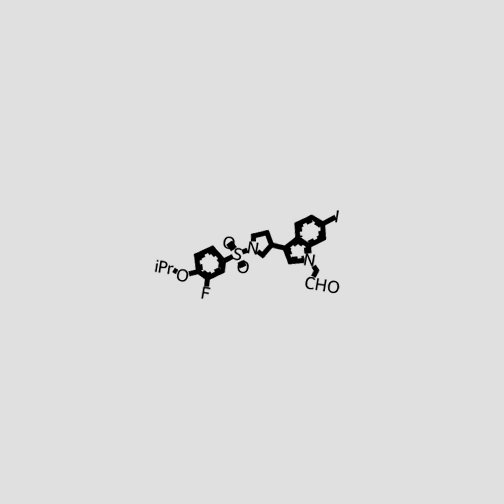 CC(C)Oc1ccc(S(=O)(=O)N2CCC(c3cn(CC=O)c4cc(I)ccc34)C2)cc1F